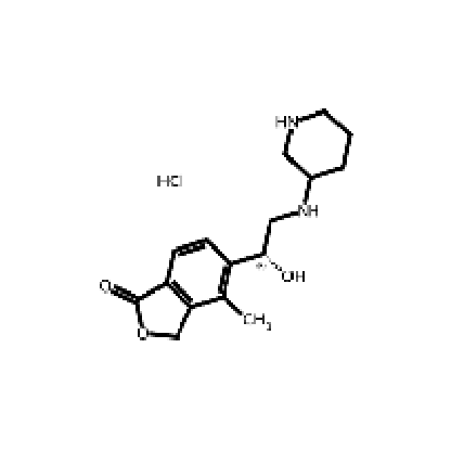 Cc1c([C@@H](O)CNC2CCCNC2)ccc2c1COC2=O.Cl